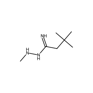 CNNC(=N)CC(C)(C)C